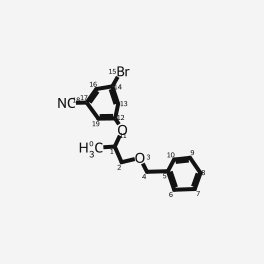 CC(COCc1ccccc1)Oc1cc(Br)cc(C#N)c1